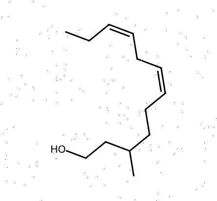 CC/C=C\C/C=C\CCC(C)CCO